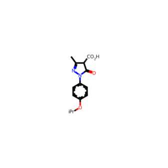 CC1=NN(c2ccc(OC(C)C)cc2)C(=O)C1C(=O)O